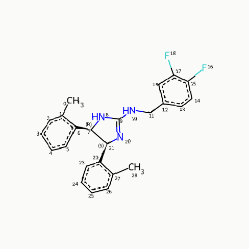 Cc1ccccc1[C@H]1NC(NCc2ccc(F)c(F)c2)=N[C@H]1c1ccccc1C